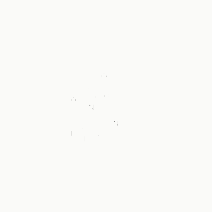 COc1cccc(OC)c1C(=O)N1CCC(F)(F)C(Oc2ccc3ccccc3n2)C1